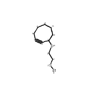 CCOCCOC1C#CCCCCC1